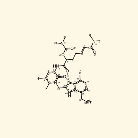 Cc1c(F)cc(NC(=O)C(CC/C=C/C(=O)N(C)C)OC(=O)N(C)C)c(=O)n1Cc1nc2c(F)cnc(CC(C)C)c2[nH]1